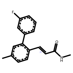 CNC(=O)/C=C/c1ccc(C)cc1-c1cccc(F)c1